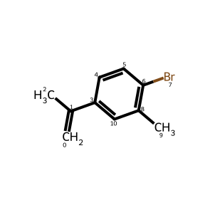 C=C(C)c1ccc(Br)c(C)c1